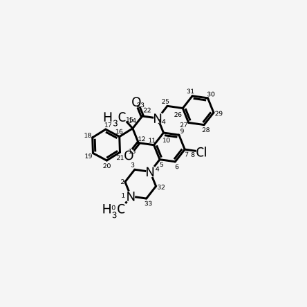 CN1CCN(c2cc(Cl)cc3c2C(=O)C(C)(c2ccccc2)C(=O)N3Cc2ccccc2)CC1